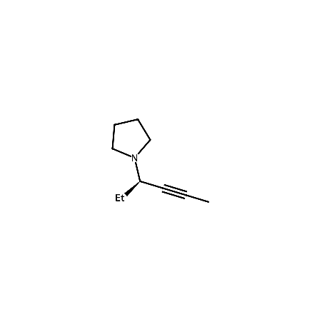 CC#C[C@@H](CC)N1CCCC1